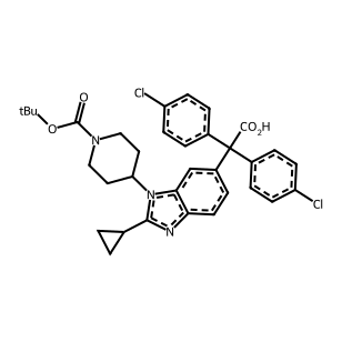 CC(C)(C)OC(=O)N1CCC(n2c(C3CC3)nc3ccc(C(C(=O)O)(c4ccc(Cl)cc4)c4ccc(Cl)cc4)cc32)CC1